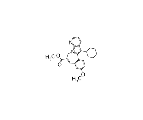 COC(=O)C1=Cc2cc(OC)ccc2-c2c(C3CCCCC3)c3cccnc3n2C1